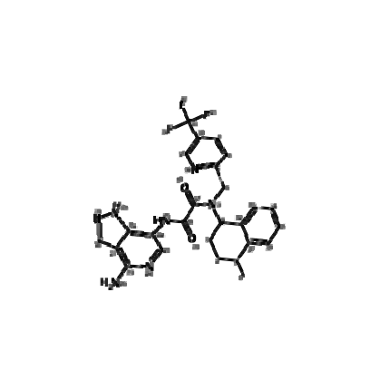 CC1CCC(N(Cc2ccc(C(F)(F)F)cn2)C(=O)C(=O)Nc2cnc(N)c3cn[nH]c23)c2ccccc21